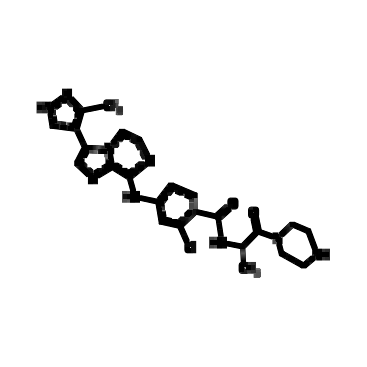 CC(NC(=O)c1ccc(Nc2nccn3c(-c4c[nH]nc4C(F)(F)F)cnc23)cc1Cl)C(=O)N1CCNCC1